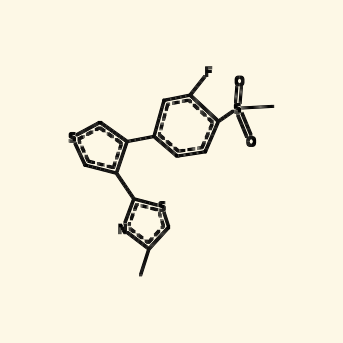 Cc1csc(-c2cscc2-c2ccc(S(C)(=O)=O)c(F)c2)n1